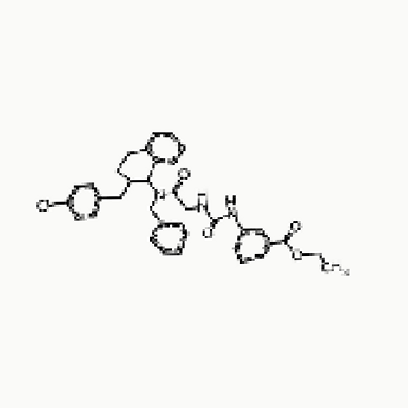 CCOC(=O)c1cccc(NC(=O)NCC(=O)N(Cc2ccccc2)C2c3ccccc3CCC2Cc2ccc(Cl)cc2)c1